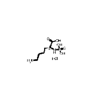 Cl.NCCCC[C@H](NP(=O)(O)O)C(=O)O